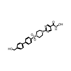 O=C(NO)c1cnc(N2CCN(S(=O)(=O)c3ccc(-c4ccc(CO)cc4)cc3)CC2)nc1